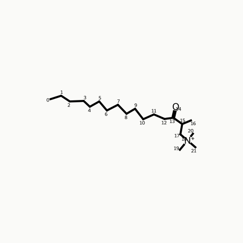 CCCCCCCCCCCCCC(=O)C(C)C[N+](C)(C)C